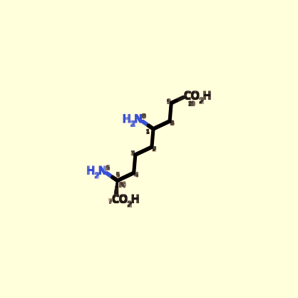 NC(CCC[C@H](N)C(=O)O)CCC(=O)O